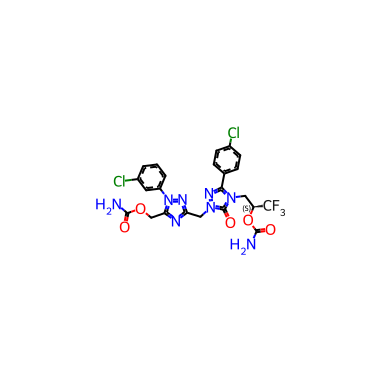 NC(=O)OCc1nc(Cn2nc(-c3ccc(Cl)cc3)n(C[C@H](OC(N)=O)C(F)(F)F)c2=O)nn1-c1cccc(Cl)c1